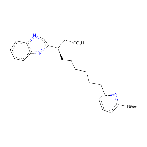 CNc1cccc(CCCCCC[C@H](CC(=O)O)c2cnc3ccccc3n2)n1